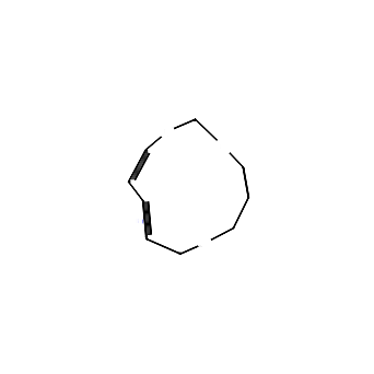 [C]1=C/C=C\CCCCCCCC/1